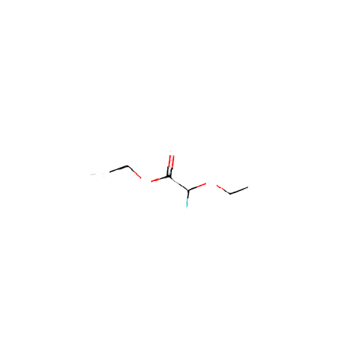 CCOC(=O)C(F)OCC